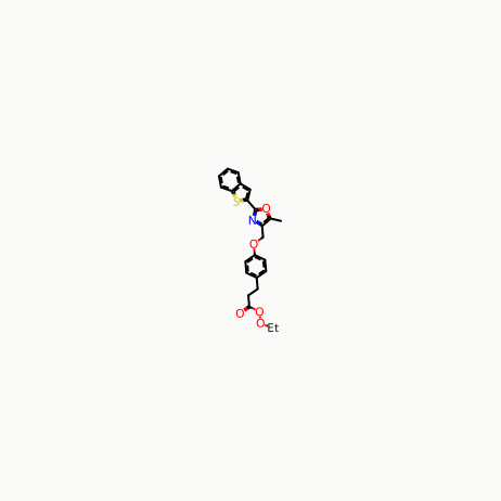 CCOOC(=O)CCc1ccc(OCc2nc(-c3cc4ccccc4s3)oc2C)cc1